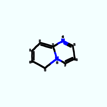 [C]1=CC=C2N=C[C]=CN2C1